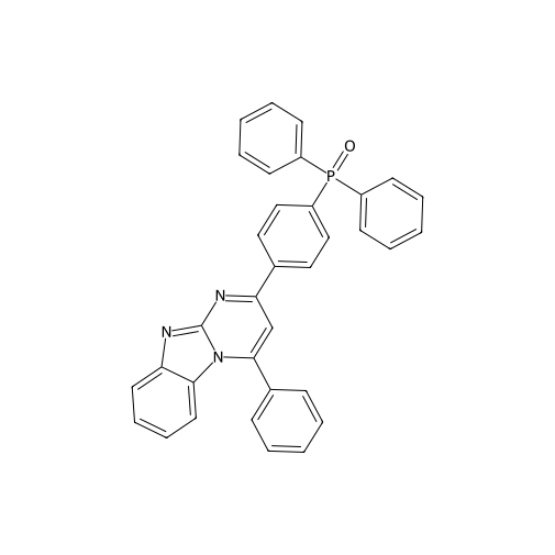 O=P(c1ccccc1)(c1ccccc1)c1ccc(-c2cc(-c3ccccc3)n3c(n2)nc2ccccc23)cc1